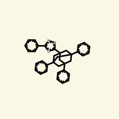 c1ccc(-c2nnc(C34CC5(c6ccccc6)CC(c6ccccc6)(CC(c6ccccc6)(C5)C3)C4)o2)cc1